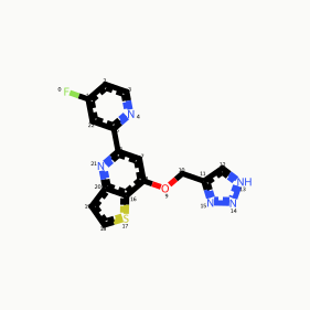 Fc1ccnc(-c2cc(OCc3c[nH]nn3)c3sccc3n2)c1